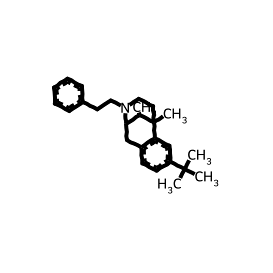 CC1C2Cc3ccc(C(C)(C)C)cc3C1(C)CCN2CCc1ccccc1